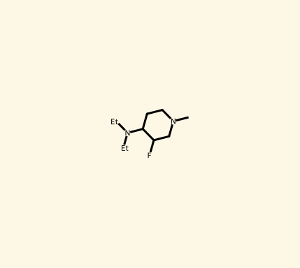 CCN(CC)C1CCN(C)CC1F